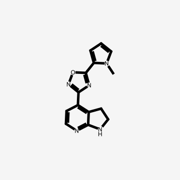 Cn1cccc1-c1nc(-c2ccnc3c2CCN3)no1